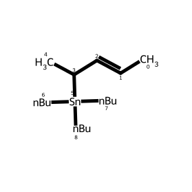 C/C=C/[CH](C)[Sn]([CH2]CCC)([CH2]CCC)[CH2]CCC